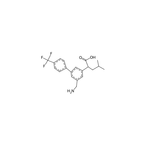 CC(C)CC(C(=O)O)c1cc(CN)cc(-c2ccc(C(F)(F)F)cc2)c1